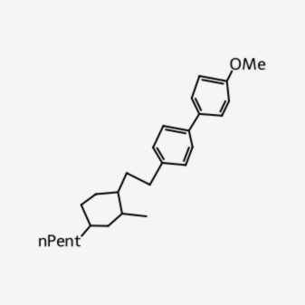 CCCCCC1CCC(CCc2ccc(-c3ccc(OC)cc3)cc2)C(C)C1